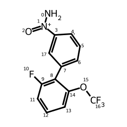 N[N+](=O)c1[c]ccc(-c2c(F)cccc2OC(F)(F)F)c1